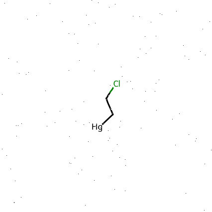 ClC[CH2][Hg]